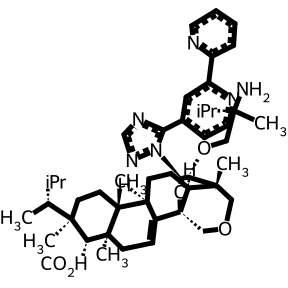 CC(C)[C@@H](C)[C@@]1(C)CC[C@]2(C)[C@H]3CC[C@@H]4[C@@]5(COC[C@@]4(C)[C@@H](OC[C@](C)(N)C(C)C)[C@H](n4ncnc4-c4ccnc(-c6ccccn6)c4)C5)C3=CC[C@@]2(C)[C@@H]1C(=O)O